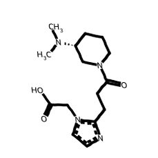 CN(C)[C@@H]1CCCN(C(=O)CCc2nccn2CC(=O)O)C1